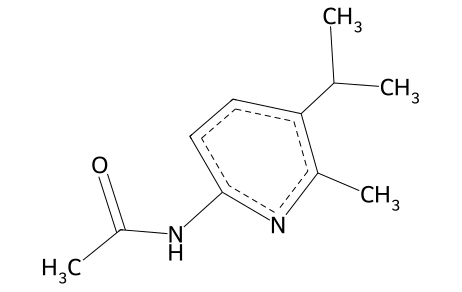 CC(=O)Nc1ccc(C(C)C)c(C)n1